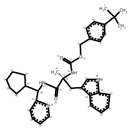 CC(C)(C)c1ccc(COC(=O)N[C@@](C)(Cc2c[nH]c3ccccc23)C(=O)NC(c2ccccn2)C2CCCCC2)cc1